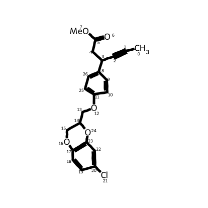 CC#CC(CC(=O)OC)c1ccc(OCC2COc3ccc(Cl)cc3O2)cc1